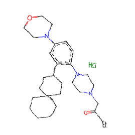 CCC(=O)CN1CCN(c2ccc(N3CCOCC3)cc2C2CCC3(CCCCC3)CC2)CC1.Cl